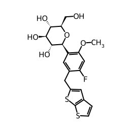 COc1cc(F)c(Cc2cc3ccsc3s2)cc1[C@@H]1O[C@H](CO)[C@@H](O)[C@H](O)[C@H]1O